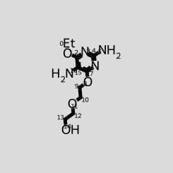 CCOc1nc(N)nc(OCCOCCO)c1N